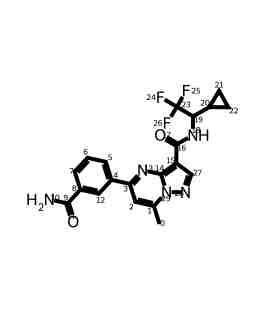 Cc1cc(-c2cccc(C(N)=O)c2)nc2c(C(=O)NC(C3CC3)C(F)(F)F)cnn12